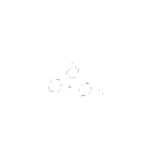 Cc1cc([C@](CC=O)(c2ccc(N3CCOCC3)cc2)c2ccccc2C)ccn1